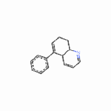 C1=CC2C(c3ccccc3)=CCCC2N=C1